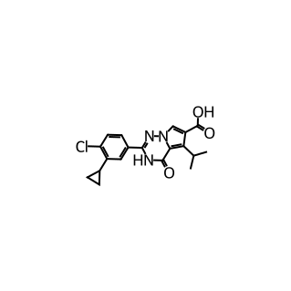 CC(C)c1c(C(=O)O)cn2nc(-c3ccc(Cl)c(C4CC4)c3)[nH]c(=O)c12